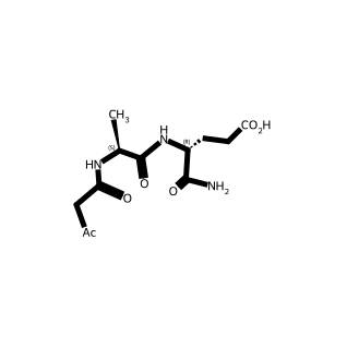 CC(=O)CC(=O)N[C@@H](C)C(=O)N[C@H](CCC(=O)O)C(N)=O